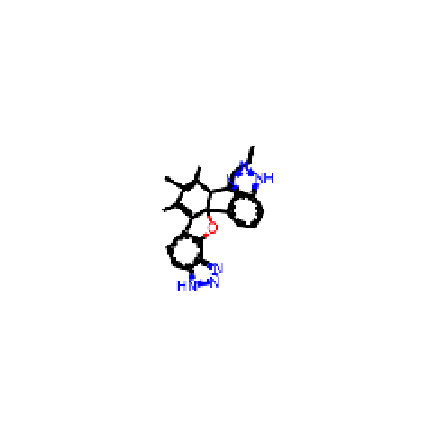 C=C(CCC)C1C(C)=C(C)C(C)=C(C)C1(Oc1cccc2[nH]nnc12)c1cccc2[nH]nnc12